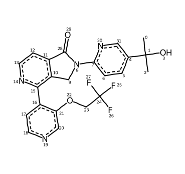 CC(C)(O)c1ccc(N2Cc3c(ccnc3-c3ccncc3OCC(F)(F)F)C2=O)nc1